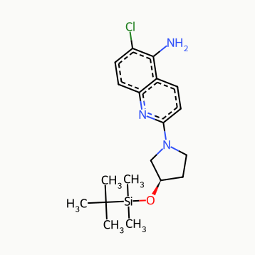 CC(C)(C)[Si](C)(C)O[C@@H]1CCN(c2ccc3c(N)c(Cl)ccc3n2)C1